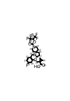 O=C(OC(C(F)(F)F)C(F)(F)F)N1CCC2(CCCN2Cc2ccc(F)cc2OCC2(C(=O)O)CC2)CC1